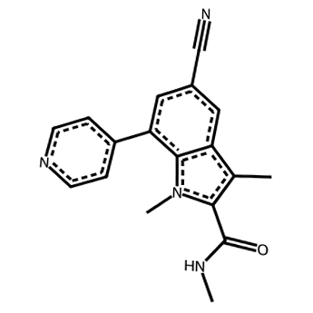 CNC(=O)c1c(C)c2cc(C#N)cc(-c3ccncc3)c2n1C